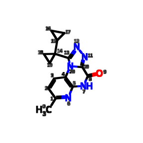 Cc1ccc2c(n1)[nH]c(=O)c1nnc(C3(C4CC4)CC3)n12